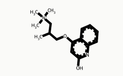 CC(COc1cc(O)nc2ccccc12)C[N+](C)(C)C